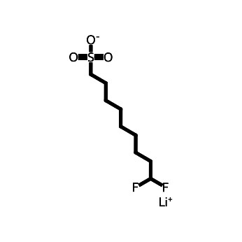 O=S(=O)([O-])CCCCCCCCC(F)F.[Li+]